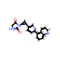 O=C1CNC(=O)N1C1CC1c1ccc(-c2cccc3ncccc23)nc1